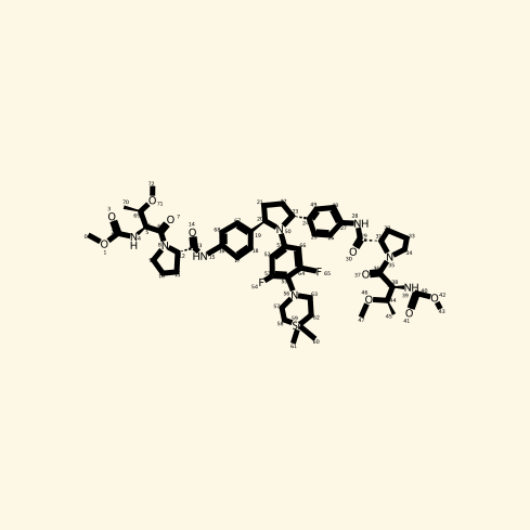 COC(=O)N[C@H](C(=O)N1CCC[C@H]1C(=O)Nc1ccc([C@H]2CC[C@H](c3ccc(NC(=O)[C@@H]4CCCN4C(=O)[C@@H](NC(=O)OC)[C@@H](C)OC)cc3)N2c2cc(F)c(N3CC[Si](C)(C)CC3)c(F)c2)cc1)[C@@H](C)OC